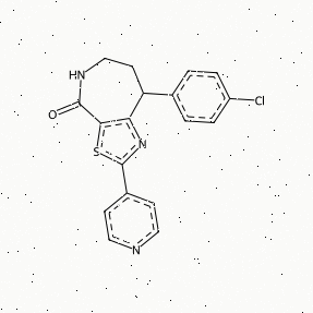 O=C1NCCC(c2ccc(Cl)cc2)c2nc(-c3ccncc3)sc21